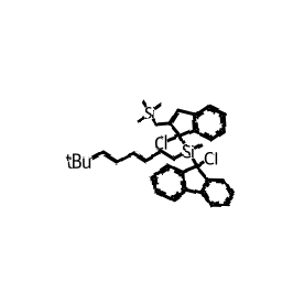 CC(C)(C)CCCCCC[Si](C)(C1(Cl)C(C[Si](C)(C)C)=Cc2ccccc21)C1(Cl)c2ccccc2-c2ccccc21